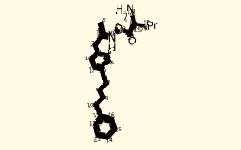 C=C(Cc1ccc(CCCCc2ccccc2)cc1)NOC(=O)[C@@H](N)C(C)C